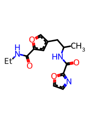 CCNC(=O)c1cc(CC(C)NC(=O)c2ncco2)co1